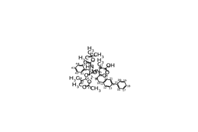 CC(=O)OC(OP(=O)(C[C@@H](Cc1ccc(-c2ccccc2)cc1)C(=O)N[C@H](C)C(=O)O)C(NC(=O)OC(C)(C)C)c1ccccc1)C(C)C